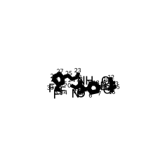 Cc1noc(-c2ccc(B3OC(C)(C)C(C)(C)O3)cc2)c1NC(C)CCc1cccc(C(F)(F)F)c1